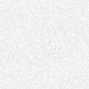 COc1cc(/C=C2/C(C)=C(CNC(=O)c3cc[nH]c3)c3cc(F)ccc32)cc(OC)c1O